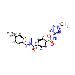 Cn1nnc(NS(=O)(=O)c2ccc(C(=O)NCc3ccc(C(F)(F)F)cc3)cc2)n1